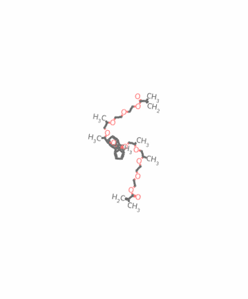 C=C(C)C(=O)OCCOCCOC(C)COC(C)COC1=CC2=CC=C1C2C1(C)C2=CC=C1C(OCC(C)OCC(C)OCCOCCOC(=O)C(=C)C)=C2